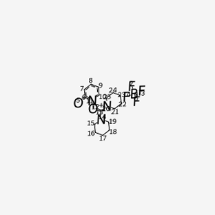 F[B-](F)(F)F.O=c1ccccn1[O+]=C(N1CCCCC1)N1CCCCC1